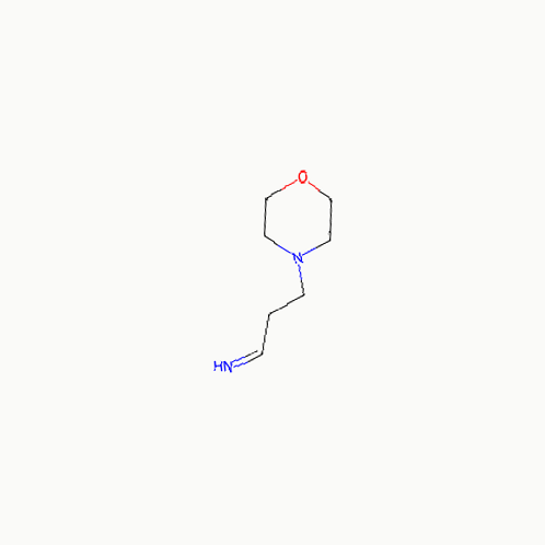 N=CCCN1CCOCC1